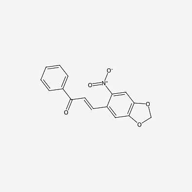 O=C(C=Cc1cc2c(cc1[N+](=O)[O-])OCO2)c1ccccc1